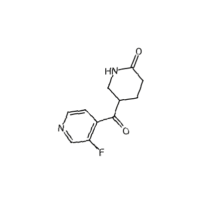 O=C1CCC(C(=O)c2ccncc2F)CN1